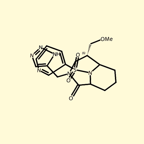 COC[C@H]1CN(Cc2cnn[nH]2)C(=O)C2CCCC1N2S(=O)(=O)c1cccnc1